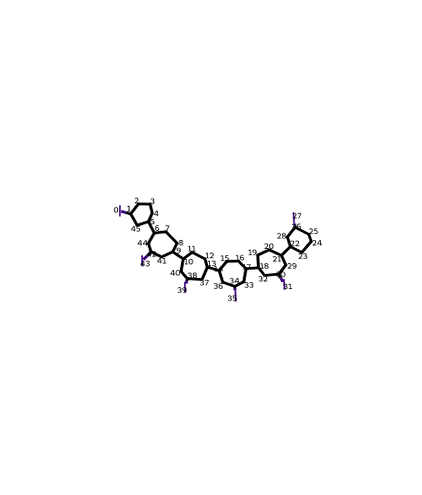 IC1CCCC(C2CCC(C3CCC(C4CCC(C5CCC(C6CCCC(I)C6)CC(I)C5)CC(I)C4)CC(I)C3)CC(I)C2)C1